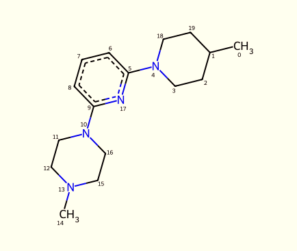 CC1CCN(c2cccc(N3CCN(C)CC3)n2)CC1